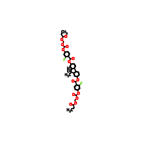 C=CC(=O)OCOC(=O)Oc1ccc(C(=O)Oc2ccc3c(c2)C(C)(C)c2cc(OC(=O)c4ccc(OC(=O)OCOC(=O)C=C)cc4F)ccc2-3)c(F)c1